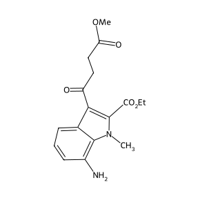 CCOC(=O)c1c(C(=O)CCC(=O)OC)c2cccc(N)c2n1C